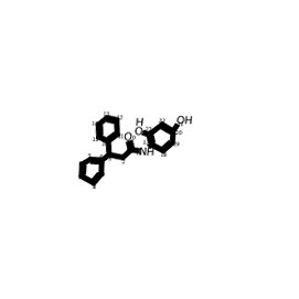 O=C(CC(c1ccccc1)c1ccccc1)Nc1ccc(O)cc1O